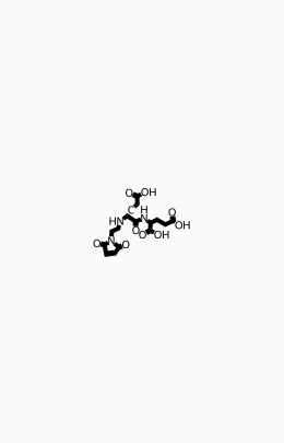 O=C(O)CCC(NC(=O)C(CCC(=O)O)NCCN1C(=O)C=CC1=O)C(=O)O